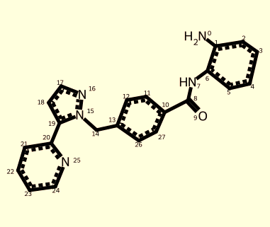 Nc1ccccc1NC(=O)c1ccc(Cn2nccc2-c2ccccn2)cc1